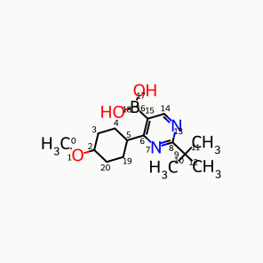 COC1CCC(c2nc(C(C)(C)C)ncc2B(O)O)CC1